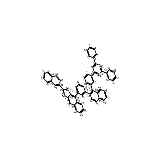 c1ccc(-c2cc(-c3cccc(-c4c(-c5cccc(-c6c7c(cc8ccccc68)OC(c6ccc8ccccc8c6)N7)c5)ccc5ccccc45)c3)nc(-c3ccccc3)n2)cc1